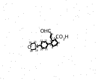 O=CC=Cc1c(C(=O)O)cccc1-c1ccc(N2CCOCC2)cc1